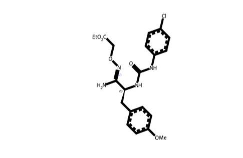 CCOC(=O)CO/N=C(\N)[C@H](Cc1ccc(OC)cc1)NC(=O)Nc1ccc(Cl)cc1